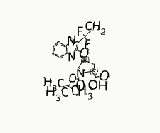 C=CC(F)(F)c1nc2ccccc2nc1O[C@@H]1C[C@@H](C(=O)O)N(C(=O)OC(C)(C)C)C1